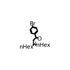 CCCCCCN(CCCCCC)CC(=O)c1ccc(Br)cc1